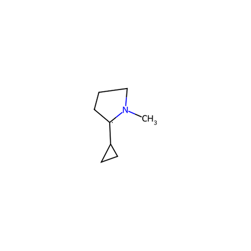 CN1CCC[C]1C1CC1